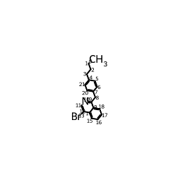 CCCCc1ccc(Cc2ncc(Br)c3ccccc23)cc1